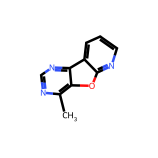 Cc1ncnc2c1oc1ncccc12